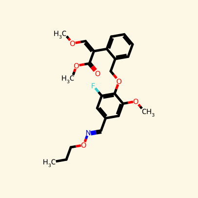 CCCON=Cc1cc(F)c(OCc2ccccc2C(=COC)C(=O)OC)c(OC)c1